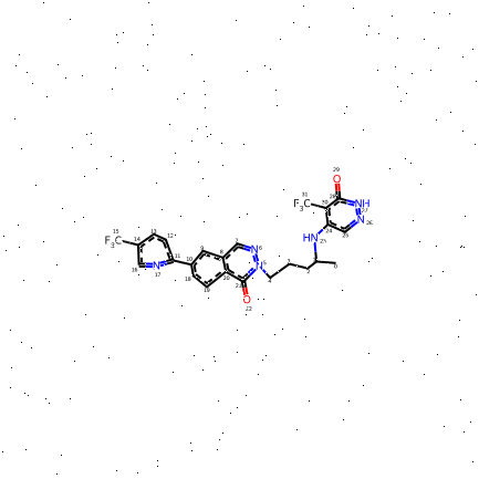 CC(CCCn1ncc2cc(-c3ccc(C(F)(F)F)cn3)ccc2c1=O)Nc1cn[nH]c(=O)c1C(F)(F)F